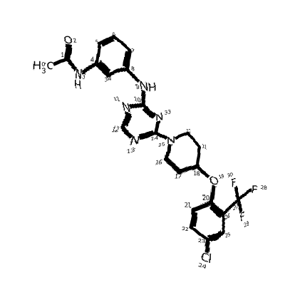 CC(=O)Nc1cccc(Nc2ncnc(N3CCC(Oc4ccc(Cl)cc4C(F)(F)F)CC3)n2)c1